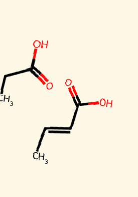 C/C=C/C(=O)O.CCC(=O)O